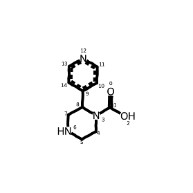 O=C(O)N1CCNCC1c1ccncc1